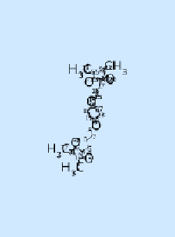 CCC(=O)C(CCCCOc1ccc(OCCCC(C(=O)CC)C(=O)CC)cc1)C(=O)CC